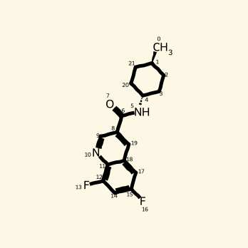 C[C@H]1CC[C@H](NC(=O)c2cnc3c(F)cc(F)cc3c2)CC1